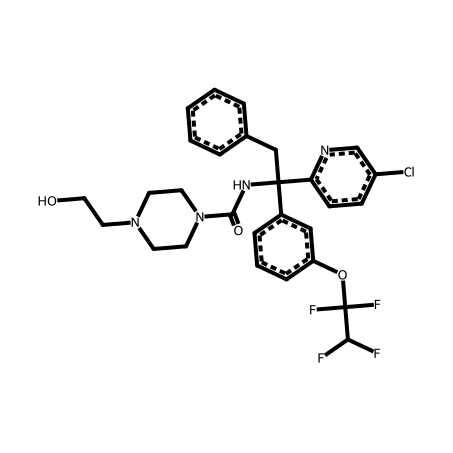 O=C(NC(Cc1ccccc1)(c1cccc(OC(F)(F)C(F)F)c1)c1ccc(Cl)cn1)N1CCN(CCO)CC1